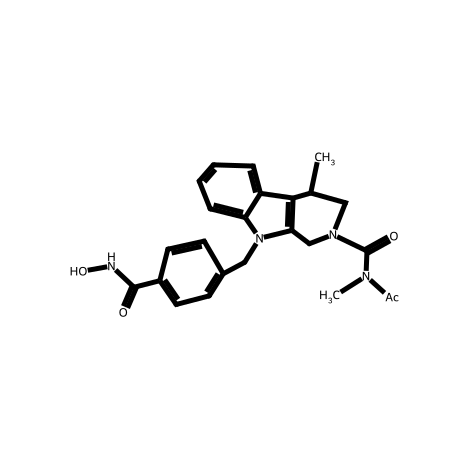 CC(=O)N(C)C(=O)N1Cc2c(c3ccccc3n2Cc2ccc(C(=O)NO)cc2)C(C)C1